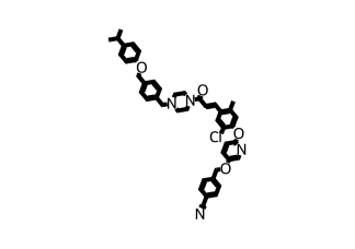 Cc1cc(Oc2ccc(OCc3ccc(C#N)cc3)cn2)c(Cl)cc1/C=C/C(=O)N1CCN(Cc2ccc(COc3ccc(C(C)C)cc3)cc2)CC1